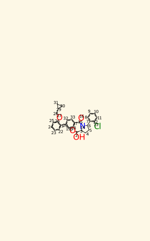 O=C(O)[C@@H]1CCC(c2ccccc2Cl)N1C(=O)c1ccc(-c2ccccc2OCC2CC2)cc1